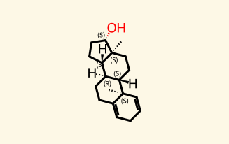 C[C@]12CC[C@H]3[C@@H](CCC4=CCC=C[C@@]43C)[C@@H]1CC[C@@H]2O